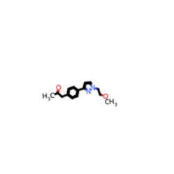 COCCn1ccc(-c2ccc(CC(C)=O)cc2)n1